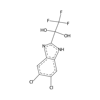 OC(O)(c1nc2cc(Cl)c(Cl)cc2[nH]1)C(F)(F)F